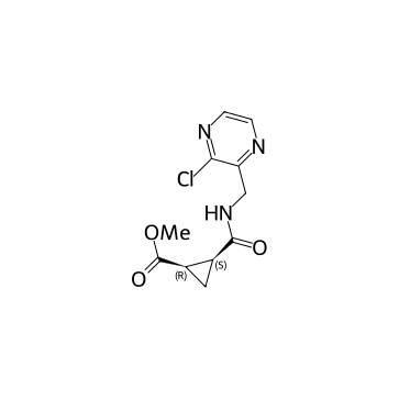 COC(=O)[C@@H]1C[C@@H]1C(=O)NCc1nccnc1Cl